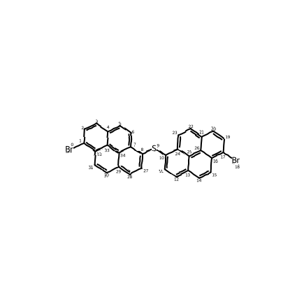 Brc1ccc2ccc3c(Sc4ccc5ccc6c(Br)ccc7ccc4c5c76)ccc4ccc1c2c43